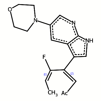 C/C=C(F)\C(=C/C(C)=O)c1c[nH]c2ncc(N3CCOCC3)cc12